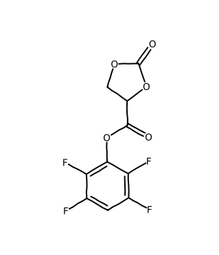 O=C1OCC(C(=O)Oc2c(F)c(F)cc(F)c2F)O1